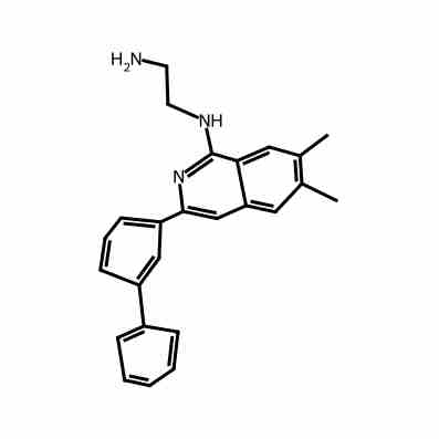 Cc1cc2cc(-c3cccc(-c4ccccc4)c3)nc(NCCN)c2cc1C